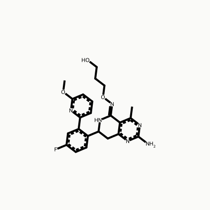 COc1cccc(-c2cc(F)ccc2C2Cc3nc(N)nc(C)c3C(=NOCCCO)N2)n1